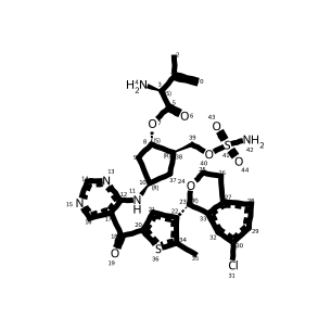 C=C(C)[C@H](N)C(=O)O[C@H]1C[C@H](Nc2ncncc2C(=O)c2cc([C@@H]3OCCc4ccc(Cl)cc43)c(C)s2)C[C@@H]1COS(N)(=O)=O